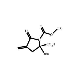 C=C1C[C@@](C(=O)O)(C(C)(C)C)N(C(=O)OC(C)(C)C)C1=O